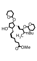 CCCC[C@@H](C)[C@@H](/C=C/[C@@H]1[C@@H](C/C=C\CCCC(=O)OC)[C@H](O)C[C@H]1OC1CCCCO1)OC1CCCCO1